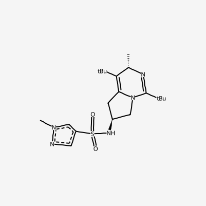 C[C@@H]1N=C(C(C)(C)C)N2C[C@@H](NS(=O)(=O)c3cnn(C)c3)CC2=C1C(C)(C)C